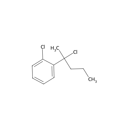 CCCC(C)(Cl)c1ccccc1Cl